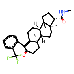 CNC(=O)[C@H]1CC[C@H]2[C@@H]3CCC4=C(c5ccccc5C(F)(F)F)C(=O)CC[C@]4(C)[C@H]3CC[C@]12C